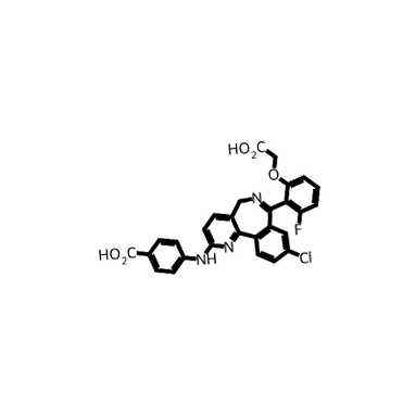 O=C(O)COc1cccc(F)c1C1=NCc2ccc(Nc3ccc(C(=O)O)cc3)nc2-c2ccc(Cl)cc21